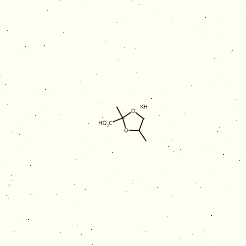 CC1COC(C)(C(=O)O)O1.[KH]